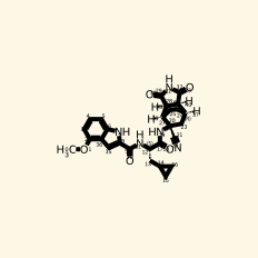 COc1cccc2[nH]c(C(=O)N[C@@H](CC3CC3)C(=O)N[C@@]3(C#N)C[C@H]4CC[C@@H]3[C@H]3C(=O)NC(=O)[C@@H]43)cc12